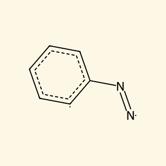 [N]=Nc1[c]cccc1